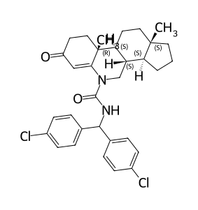 C[C@@]12CCC[C@H]1[C@@H]1CN(C(=O)NC(c3ccc(Cl)cc3)c3ccc(Cl)cc3)C3=CC(=O)CC[C@]3(C)[C@H]1CC2